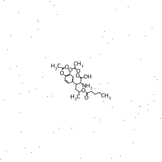 CCCCC(=O)OC(C)CC(c1ccc(OC(C)=O)c(OC(C)=O)c1)[C@H](N)C(=O)O